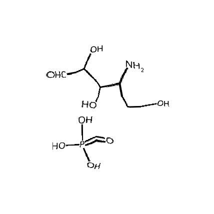 NC(CO)C(O)C(O)C=O.O=P(O)(O)O